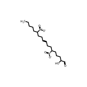 CCCCCC(CCC=CCCC(CCCC(O)[C]=O)[N+](=O)[O-])[N+](=O)[O-]